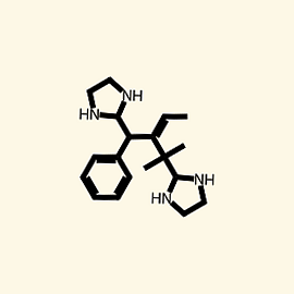 C/C=C(/C(c1ccccc1)C1NCCN1)C(C)(C)C1NCCN1